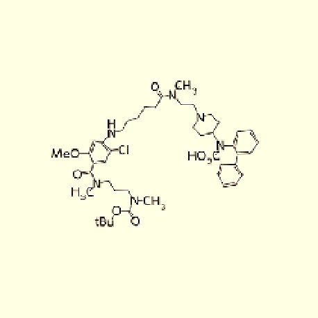 COc1cc(NCCCCCC(=O)N(C)CCN2CCC(N(C(=O)O)c3ccccc3-c3ccccc3)CC2)c(Cl)cc1C(=O)N(C)CCCN(C)C(=O)OC(C)(C)C